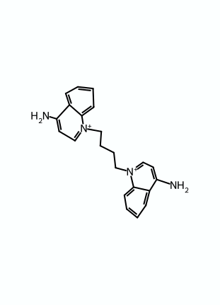 Nc1cc[n+](CCCC[n+]2ccc(N)c3ccccc32)c2ccccc12